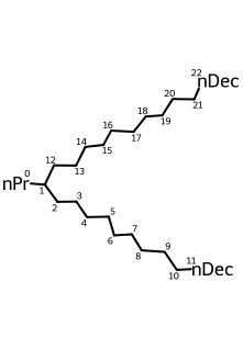 [CH2]CCC(CCCCCCCCCCCCCCCCCCC)CCCCCCCCCCCCCCCCCCCC